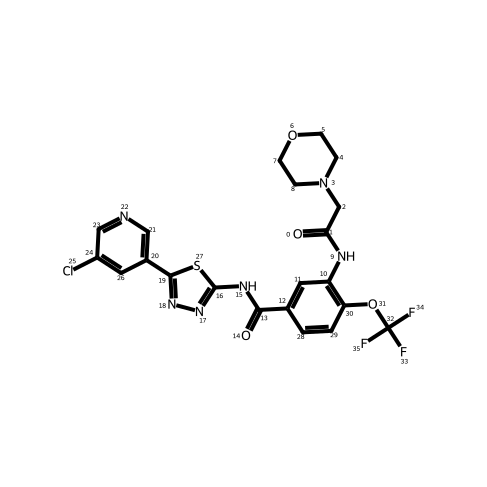 O=C(CN1CCOCC1)Nc1cc(C(=O)Nc2nnc(-c3cncc(Cl)c3)s2)ccc1OC(F)(F)F